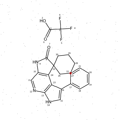 O=C(O)C(F)(F)F.O=C1Nc2cnc3[nH]cc(-c4ccccc4)c3c2C12CCCCC2